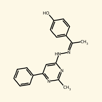 CC(=NNc1cc(-c2ccccc2)nc(C)n1)c1ccc(O)cc1